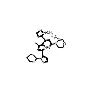 C[C@@H]1COCCN1c1cc(-c2ccnn2C)c2c(I)nc(-c3ccnn3C3CCCCO3)n2n1